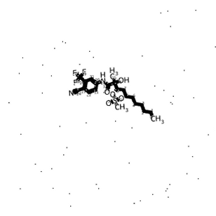 CCCCCCCCC(OS(C)(=O)=O)C(C)(O)C(=O)Nc1ccc(C#N)c(C(F)(F)F)c1